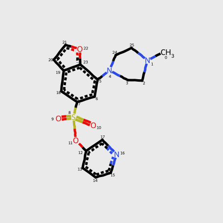 CN1CCN(c2cc(S(=O)(=O)Oc3cccnc3)cc3ccoc23)CC1